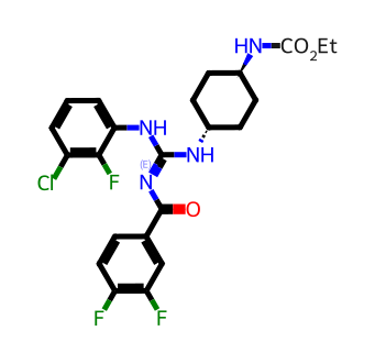 CCOC(=O)N[C@H]1CC[C@H](N/C(=N\C(=O)c2ccc(F)c(F)c2)Nc2cccc(Cl)c2F)CC1